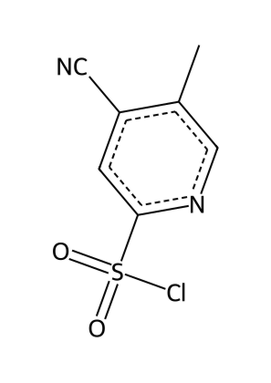 Cc1cnc(S(=O)(=O)Cl)cc1C#N